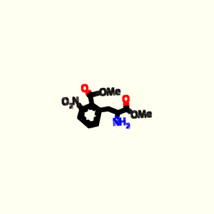 COC(=O)c1c(CC(N)C(=O)OC)cccc1[N+](=O)[O-]